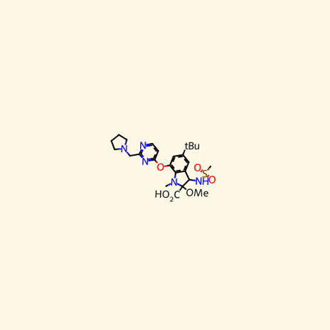 COC1(C(=O)O)C(NS(C)(=O)=O)c2cc(C(C)(C)C)cc(Oc3ccnc(CN4CCCC4)n3)c2N1C